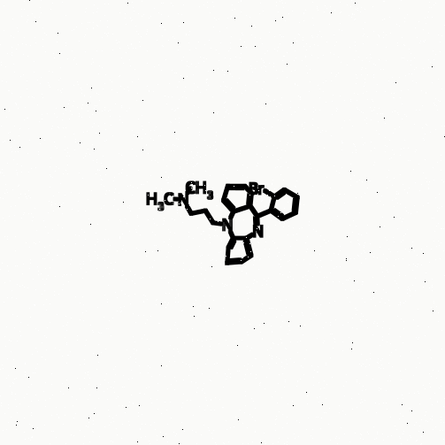 CN(C)CCCN1c2ccccc2N=C(c2ccccc2Br)c2ccccc21